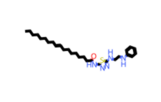 CCCCCCCC/C=C/CCCCCCCC(=O)Nc1nnc(NCCNc2ccccc2)s1